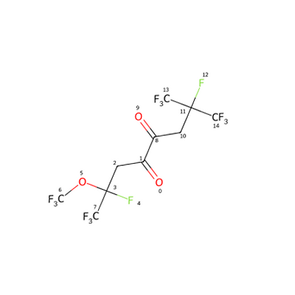 O=C(CC(F)(OC(F)(F)F)C(F)(F)F)C(=O)CC(F)(C(F)(F)F)C(F)(F)F